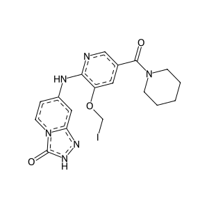 O=C(c1cnc(Nc2ccn3c(=O)[nH]nc3c2)c(OCI)c1)N1CCCCC1